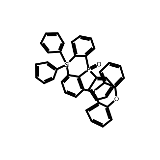 O=P1(c2ccccc2)c2ccccc2[Si](c2ccccc2)(c2ccccc2)c2cccc(N3c4ccccc4Oc4ccccc43)c21